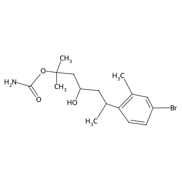 Cc1cc(Br)ccc1C(C)CC(O)CC(C)(C)OC(N)=O